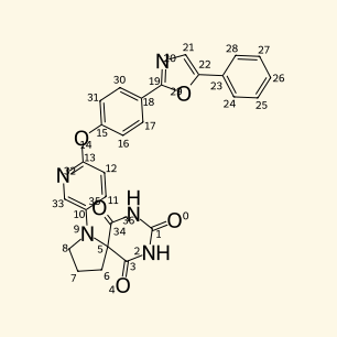 O=C1NC(=O)C2(CCCN2c2ccc(Oc3ccc(-c4ncc(-c5ccccc5)o4)cc3)nc2)C(=O)N1